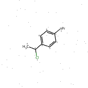 CCCc1ccc(C(C)Cl)cc1